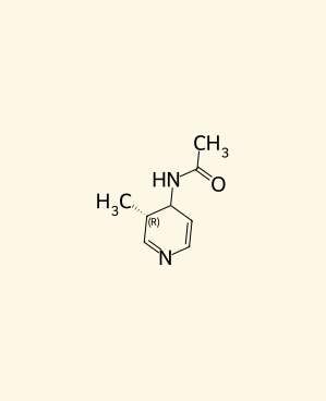 CC(=O)NC1C=CN=C[C@@H]1C